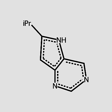 CC(C)c1cc2ncncc2[nH]1